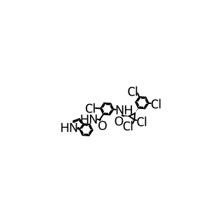 O=C(Nc1cccc2[nH]ccc12)c1cc(NC(=O)[C@H]2[C@H](c3cc(Cl)cc(Cl)c3)C2(Cl)Cl)ccc1Cl